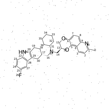 Cc1ccc2c3c(ccc2n1)OC[C@H](CN(C[C@H]1CCc2[nH]c4ccc(F)cc4c2C1)C1CCCCC1)O3